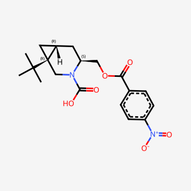 CC(C)(C)[C@@]12C[C@@H]1C[C@@H](COC(=O)c1ccc([N+](=O)[O-])cc1)N(C(=O)O)C2